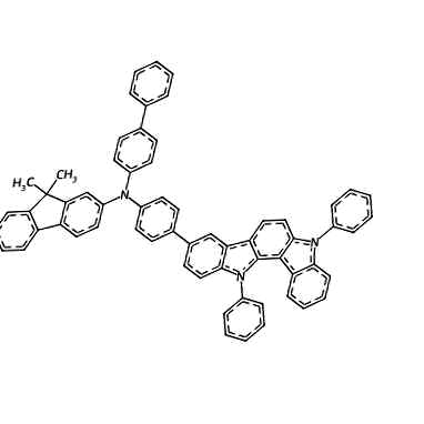 CC1(C)c2ccccc2-c2ccc(N(c3ccc(-c4ccccc4)cc3)c3ccc(-c4ccc5c(c4)c4ccc6c(c7ccccc7n6-c6ccccc6)c4n5-c4ccccc4)cc3)cc21